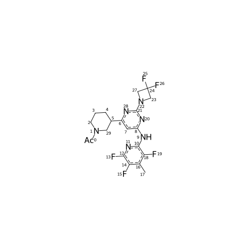 CC(=O)N1CCCC(c2cc(Nc3nc(F)c(F)c(C)c3F)nc(N3CC(F)(F)C3)n2)C1